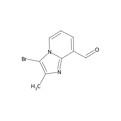 Cc1nc2c(C=O)cccn2c1Br